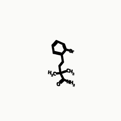 CC(C)(CCc1ccccc1Br)C(N)=O